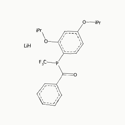 CC(C)Oc1ccc(P(C(=O)c2ccccc2)C(F)(F)F)c(OC(C)C)c1.[LiH]